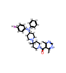 Cc1ncnc(C)c1C(=O)N1CCC(C)(N2CCC(N(c3ccccc3)c3ccc(I)cc3)CC2)CC1